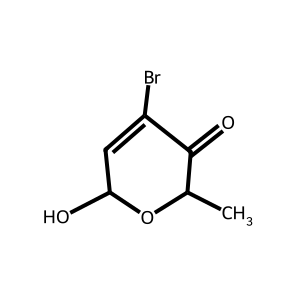 CC1OC(O)C=C(Br)C1=O